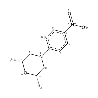 C[C@@H]1CN(c2ccc([N+](=O)[O-])cn2)C[C@H](C)O1